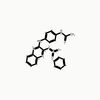 CC(=O)Nc1ccc(Nc2nc3ccccc3nc2N=S(=O)=O)cc1.c1ccccc1